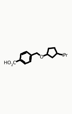 CC(C)C1CCC(OCc2ccc(C(=O)O)cc2)C1